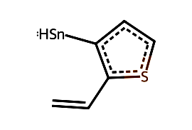 C=Cc1scc[c]1[SnH]